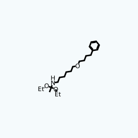 CCOC(C)(NCCCCCCOCCCCc1ccccc1)OCC